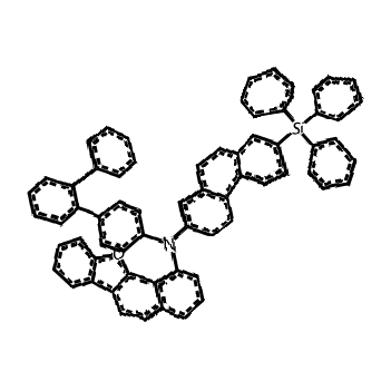 c1ccc(-c2ccccc2-c2ccc(N(c3ccc4c(ccc5cc([Si](c6ccccc6)(c6ccccc6)c6ccccc6)ccc54)c3)c3cccc4ccc5c6ccccc6oc5c34)cc2)cc1